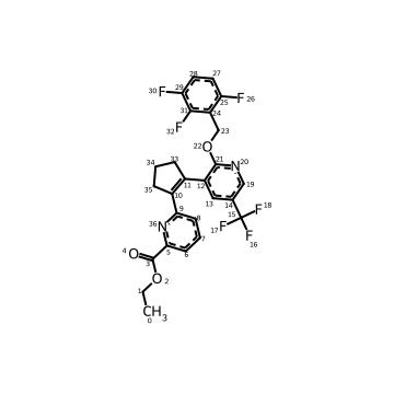 CCOC(=O)c1cccc(C2=C(c3cc(C(F)(F)F)cnc3OCc3c(F)ccc(F)c3F)CCC2)n1